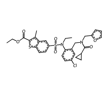 CCOC(=O)c1sc2ccc(S(=O)(=O)N(CC)c3ccc(Cl)cc3CN(Cc3ccco3)C(=O)C3CC3)cc2c1C